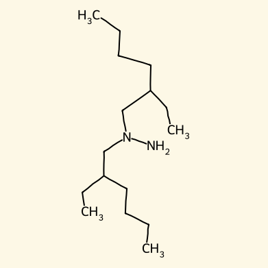 CCCCC(CC)CN(N)CC(CC)CCCC